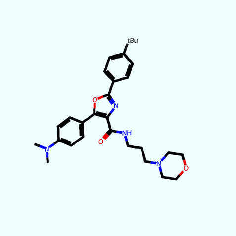 CN(C)c1ccc(-c2oc(-c3ccc(C(C)(C)C)cc3)nc2C(=O)NCCCN2CCOCC2)cc1